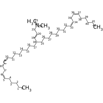 CCCCC/C=C\CC=C=CCCCCCCCC(/C=C/CN(C)C)CCCCCCCC/C=C\C/C=C\CCCCC